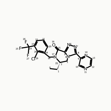 CC[C@H]1Cn2c(nnc2-c2cnccn2)C(=O)N1Cc1cccc(C(F)(F)F)c1Cl